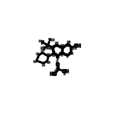 O=C(O)O.Oc1ccc2nc(C3CCCCC3)c(C(F)(F)F)cc2c1